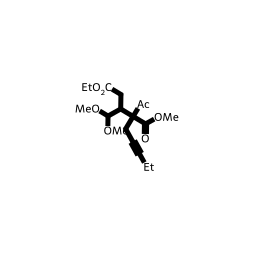 CCC#CCC(C(C)=O)(C(=O)OC)C(CC(=O)OCC)C(OC)OC